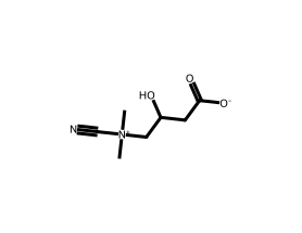 C[N+](C)(C#N)CC(O)CC(=O)[O-]